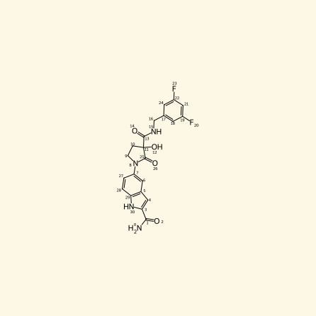 NC(=O)c1cc2cc(N3CCC(O)(C(=O)NCc4cc(F)cc(F)c4)C3=O)ccc2[nH]1